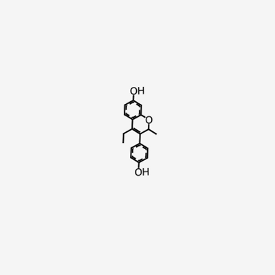 CCC1=C(c2ccc(O)cc2)C(C)Oc2cc(O)ccc21